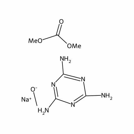 COC(=O)OC.C[O-].Nc1nc(N)nc(N)n1.[Na+]